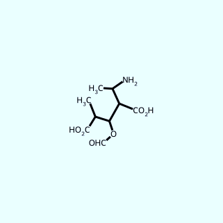 CC(N)C(C(=O)O)C(OC=O)C(C)C(=O)O